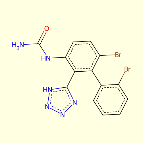 NC(=O)Nc1ccc(Br)c(-c2ccccc2Br)c1-c1nnn[nH]1